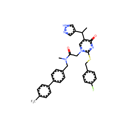 CC(c1cn[nH]c1)c1cn(CC(=O)N(C)Cc2ccc(-c3ccc(C(F)(F)F)cc3)cc2)c(SCc2ccc(F)cc2)nc1=O